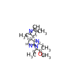 CCc1nc2c(-c3cc(C)c(C)nc3C)ccnc2n1C(CC)COC